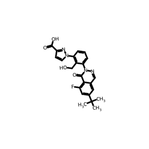 CC(C)(C)c1cc(F)c2c(=O)n(-c3cccc(-n4ccc(C(=O)O)n4)c3CO)ncc2c1